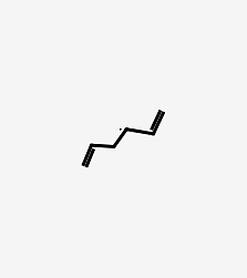 C=C[CH]CC=C